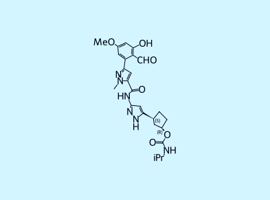 COc1cc(O)c(C=O)c(-c2cc(C(=O)Nc3cc([C@H]4CC[C@@H](OC(=O)NC(C)C)C4)[nH]n3)n(C)n2)c1